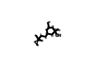 COC(C)(C)CCC1CC(C)CC(C)(O)C1